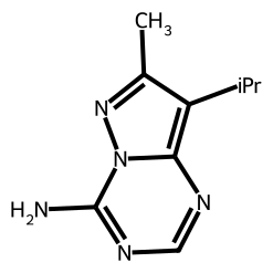 Cc1nn2c(N)ncnc2c1C(C)C